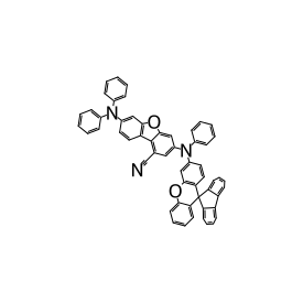 N#Cc1cc(N(c2ccccc2)c2ccc3c(c2)Oc2ccccc2C32c3ccccc3-c3ccccc32)cc2oc3cc(N(c4ccccc4)c4ccccc4)ccc3c12